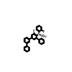 CC(C)(C)N(c1ccccc1F)c1c(F)cc(-c2cccc(-c3ccccc3)c2)cc1-c1ccccc1